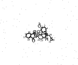 COc1ccc2c3c1O[C@H]1[C@H](N4C(=O)c5ccccc5C4=O)CC[C]4[C@@H](C2)N(CC2CC2)C=C[C@]431